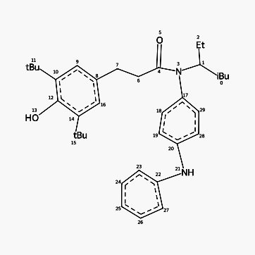 CCC(C)C(CC)N(C(=O)CCc1cc(C(C)(C)C)c(O)c(C(C)(C)C)c1)c1ccc(Nc2ccccc2)cc1